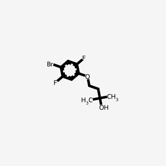 CC(C)(O)CCOc1cc(F)c(Br)cc1F